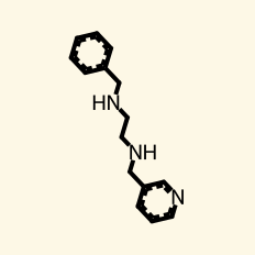 c1ccc(CNCCNCc2cccnc2)cc1